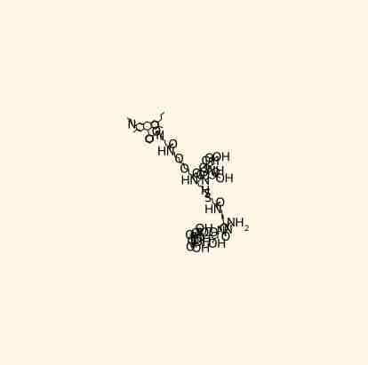 CCCc1cc2c(cc1C)C(c1ccccc1C(=O)N(C)CCCC(=O)NCCOCCOCCC(=O)NC(CCCSSCCC(=O)NCC#Cc1cn([C@H]3CC(O)[C@@H](COP(=O)(O)OP(=O)(O)OP(=O)(O)O)O3)c(=O)nc1N)C(=O)NC(CC(=O)O)C(=O)NC(CC(=O)O)C(=O)O)C1C=C(C)/C(=N/CC)C=C1C2